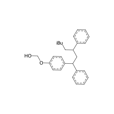 CCC(C)CC(CC(c1ccccc1)c1ccc(OCO)cc1)c1ccccc1